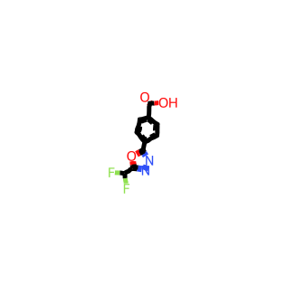 O=C(O)c1ccc(-c2nnc(C(F)F)o2)cc1